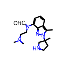 Cc1c2cccc(N(C=O)CCN(C)C)c2nn1C1(C)CCNC1